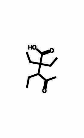 CCC(C(C)=O)C(CC)(CC)C(=O)O